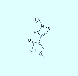 CON=C(C(=O)O)C1=CSN(N)N1